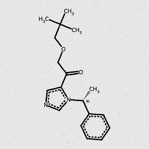 C[C@H](c1ccccc1)n1cncc1C(=O)COCC(C)(C)C